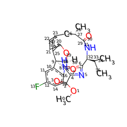 COC(=O)c1nc2oc1[C@@]13c4cc(F)ccc4N[C@@H]1Oc1ccc(cc13)C[C@H](C)C(=O)N[C@H]2C(C)C